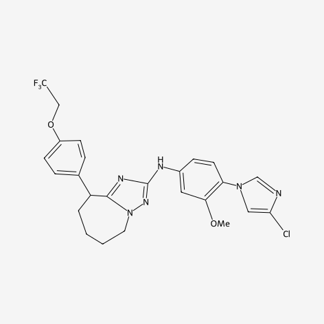 COc1cc(Nc2nc3n(n2)CCCCC3c2ccc(OCC(F)(F)F)cc2)ccc1-n1cnc(Cl)c1